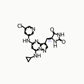 O=C1NC(=O)/C(=C/c2cnn3c(NC4CC4)cc(Nc4cncc(Cl)c4)nc23)N1